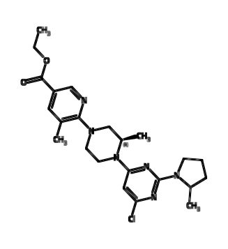 CCOC(=O)c1cnc(N2CCN(c3cc(Cl)nc(N4CCCC4C)n3)[C@H](C)C2)c(C)c1